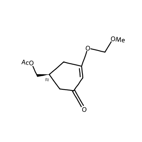 COCOC1=CC(=O)C[C@@H](COC(C)=O)C1